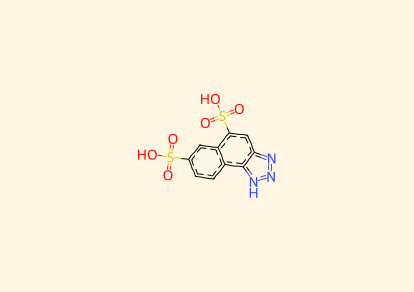 O=S(=O)(O)c1ccc2c(c1)c(S(=O)(=O)O)cc1nn[nH]c12